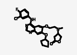 CN(CCOc1cc2c(Nc3ccc(F)c(Cl)c3)ncnc2cc1OC1CCCC1)C1COC(=O)C1